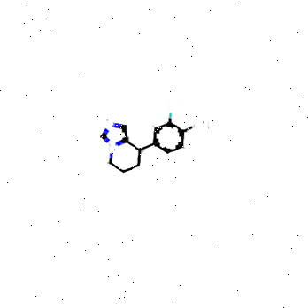 N#Cc1ccc(C2CCCn3cncc32)cc1F